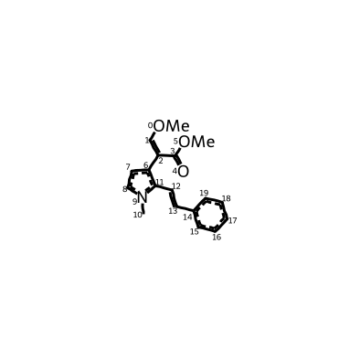 COC=C(C(=O)OC)c1ccn(C)c1C=Cc1ccccc1